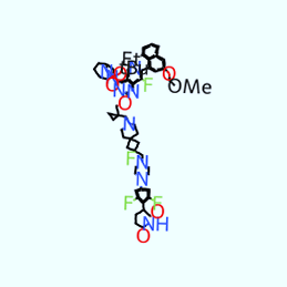 CCc1cccc2cc(OCOC)cc(-c3ncc4c(N5CC6CCC(C5)N6C(=O)OC(C)(C)C)nc(OCC5(CN6CCC7(CC6)CC(F)(CN6CCN(c8cc(F)c(C9CCC(=O)NC9=O)c(F)c8)CC6)C7)CC5)nc4c3F)c12